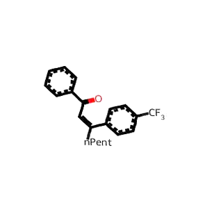 CCCCCC(=CC(=O)c1ccccc1)c1ccc(C(F)(F)F)cc1